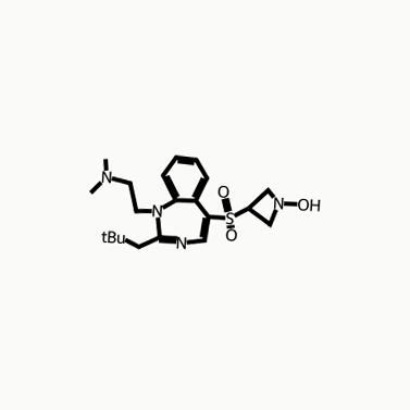 CN(C)CCN1C(CC(C)(C)C)=NC=C(S(=O)(=O)C2CN(O)C2)c2ccccc21